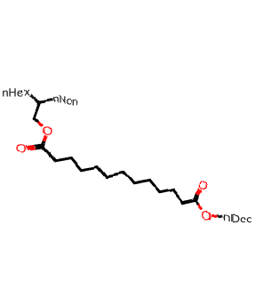 CCCCCCCCCCOC(=O)CCCCCCCCCCCC(=O)OCC(CCCCCC)CCCCCCCCC